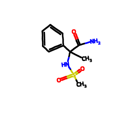 CC(NS(C)(=O)=O)(C(N)=O)c1ccccc1